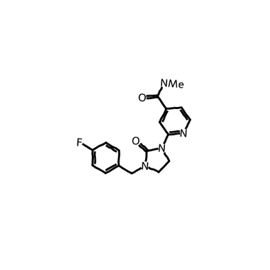 CNC(=O)c1ccnc(N2CCN(Cc3ccc(F)cc3)C2=O)c1